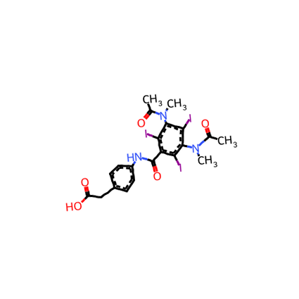 CC(=O)N(C)c1c(I)c(C(=O)Nc2ccc(CC(=O)O)cc2)c(I)c(N(C)C(C)=O)c1I